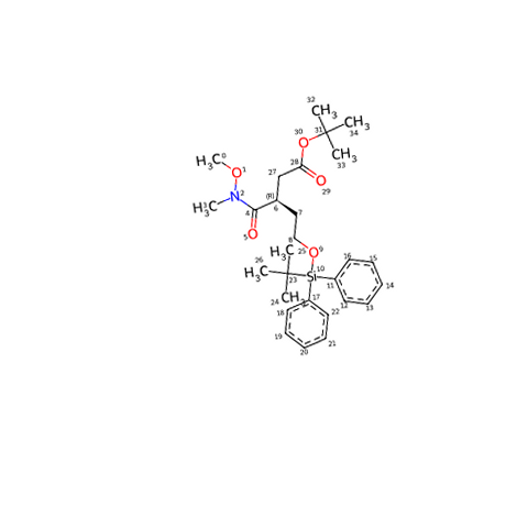 CON(C)C(=O)[C@H](CCO[Si](c1ccccc1)(c1ccccc1)C(C)(C)C)CC(=O)OC(C)(C)C